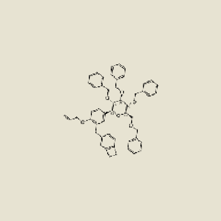 C=CCOc1ccc([C@@H]2O[C@H](COCc3ccccc3)[C@@H](OCc3ccccc3)[C@H](OCc3ccccc3)[C@H]2OCc2ccccc2)cc1Cc1ccc2c(c1)CC2